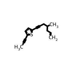 C=CCC(C)CC#Cc1ccc(C#CC)s1